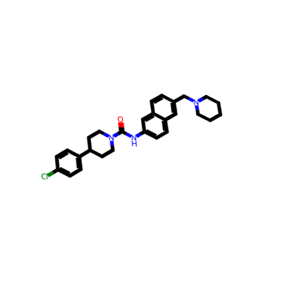 O=C(Nc1ccc2cc(CN3CCCCC3)ccc2c1)N1CCC(c2ccc(Cl)cc2)CC1